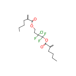 C=C(CCCC)C(=O)OCCC(F)(Cl)C(F)(F)OC(=O)C(=C)CCCC